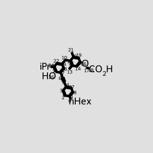 CCCCCCc1ccc(C#Cc2cc(Cc3c(C)cc(OCC(=O)O)cc3C)cc(C(C)C)c2O)cc1